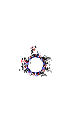 C/C=C/C[C@@H](C)C[C@@H]1C(=O)N[C@H](CC)C(=O)N(C)[C@@H](CSCCCC(=O)OC)C(=O)N(C)[C@@H](CC(C)(C)O)C(=O)N[C@H](C(C)C)C(=O)N(C)[C@H](CCC(C)C)C(=O)N[C@H](C)C(=O)N[C@@H](C)C(=O)N(C)[C@@H](CC(C)C)C(=O)N(C)[C@H](CCC(C)C)C(=O)N(C)[C@H](C(C)C)C(=O)N1C